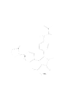 C=C(C)C(=O)Nc1ccc(-c2c(-c3ccc(N4CCCC4=O)nc3)c3c(N)ncnc3n2C)cc1